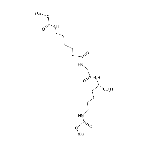 CC(C)(C)OC(=O)NCCCCCC(=O)NCC(=O)N[C@@H](CCCCNC(=O)OC(C)(C)C)C(=O)O